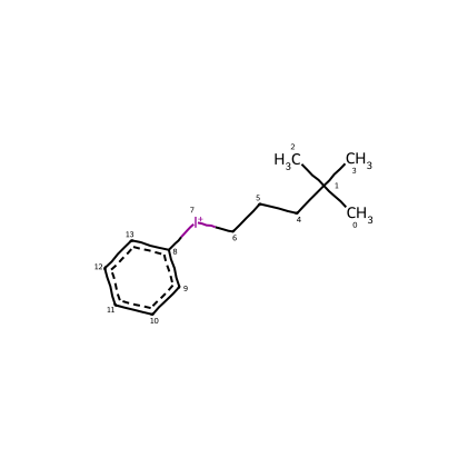 CC(C)(C)CCC[I+]c1ccccc1